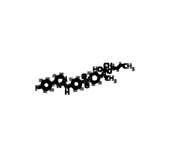 CCCCOC(C)(O)N(C)C1CCN(S(=O)(=O)c2ccc(Nc3nccc(-c4ccc(F)cc4)n3)cc2)CC1